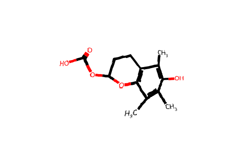 Cc1c(C)c2c(c(C)c1O)CCC(OC(=O)O)O2